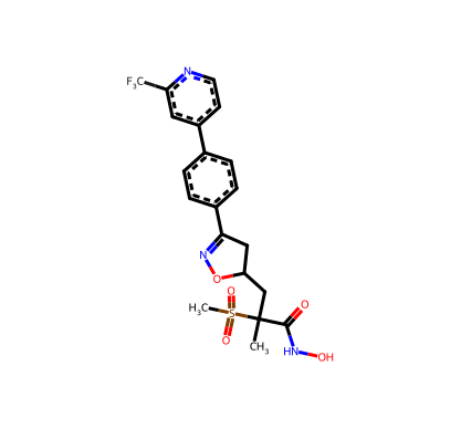 CC(CC1CC(c2ccc(-c3ccnc(C(F)(F)F)c3)cc2)=NO1)(C(=O)NO)S(C)(=O)=O